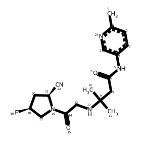 Cc1ccc(NC(=O)CC(C)(C)NCC(=O)N2C[C@@H](F)C[C@H]2C#N)cn1